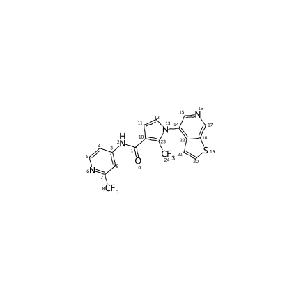 O=C(Nc1ccnc(C(F)(F)F)c1)c1ccn(-c2cncc3sccc23)c1C(F)(F)F